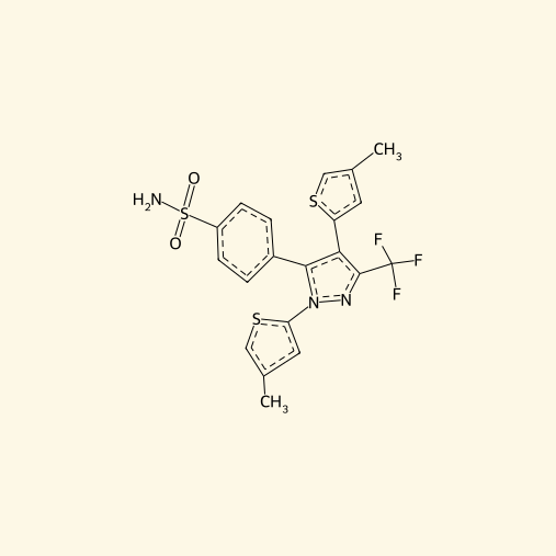 Cc1csc(-c2c(C(F)(F)F)nn(-c3cc(C)cs3)c2-c2ccc(S(N)(=O)=O)cc2)c1